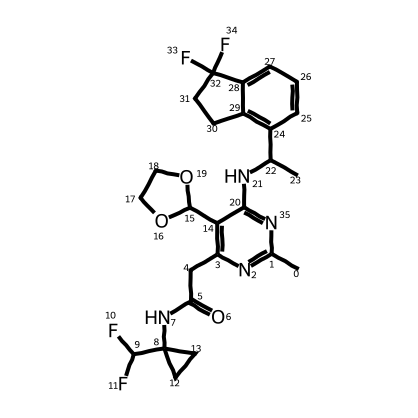 Cc1nc(CC(=O)NC2(C(F)F)CC2)c(C2OCCO2)c(NC(C)c2cccc3c2CCC3(F)F)n1